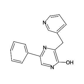 Oc1ncc(-c2ccccc2)nc1Cc1cccnc1